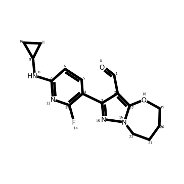 O=Cc1c(-c2ccc(NC3CC3)nc2F)nn2c1OCCCC2